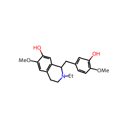 CCN1CCc2cc(OC)c(O)cc2C1Cc1ccc(OC)c(O)c1